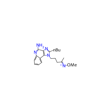 CCCCc1nc2c(N)nc3ccccc3c2n1CCC/C(C)=N/OC